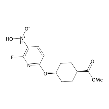 COC(=O)[C@H]1CC[C@@H](Oc2ccc([NH+]([O-])O)c(F)n2)CC1